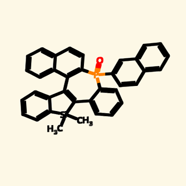 C[Si]1(C)C2=C(c3ccccc31)c1c(ccc3ccccc13)P(=O)(c1ccc3ccccc3c1)c1ccccc12